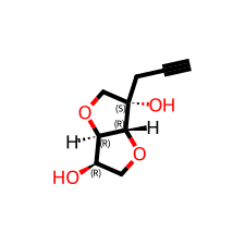 C#CC[C@]1(O)CO[C@@H]2[C@H](O)CO[C@H]21